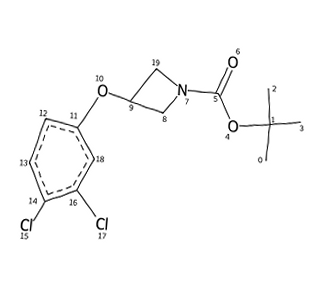 CC(C)(C)OC(=O)N1CC(Oc2ccc(Cl)c(Cl)c2)C1